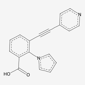 O=C(O)c1cccc(C#Cc2ccncc2)c1-n1cccc1